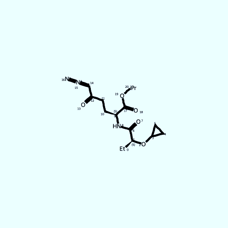 CC[C@H](OC1CC1)C(=O)N[C@@H](CCC(=O)C=[N+]=[N-])C(=O)OC(C)C